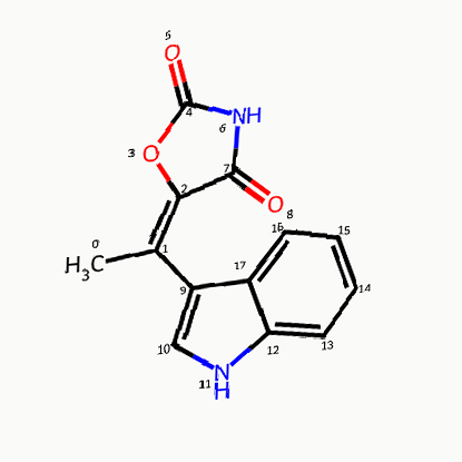 CC(=C1OC(=O)NC1=O)c1c[nH]c2ccccc12